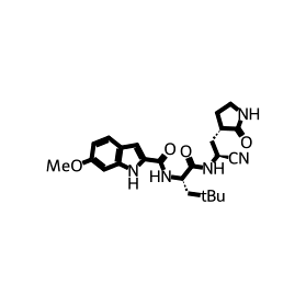 COc1ccc2cc(C(=O)N[C@@H](CC(C)(C)C)C(=O)N[C@H](C#N)C[C@@H]3CCNC3=O)[nH]c2c1